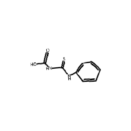 O=C(O)NC(=S)Nc1ccccc1